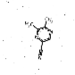 Cc1ncc(C#N)nc1C